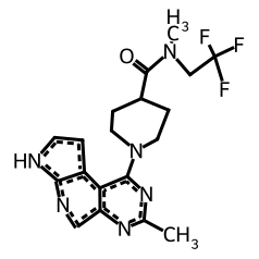 Cc1nc(N2CCC(C(=O)N(C)CC(F)(F)F)CC2)c2c(cnc3[nH]ccc32)n1